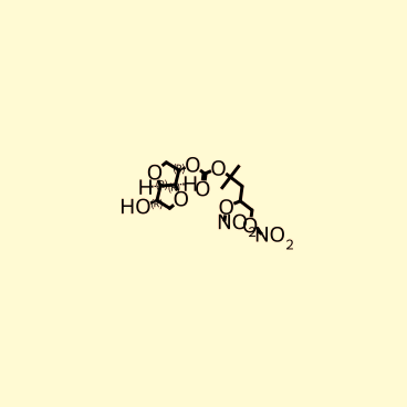 CC(C)(CC(CO[N+](=O)[O-])O[N+](=O)[O-])OC(=O)O[C@@H]1CO[C@H]2[C@@H]1OC[C@H]2O